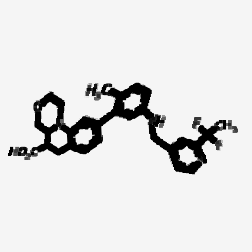 Cc1ccc(NCc2ccnc(C(C)(F)F)c2)cc1-c1ccc2c(c1)N1CCOCC1C(C(=O)O)C2